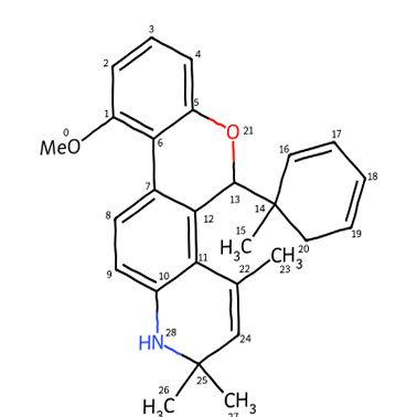 COc1cccc2c1-c1ccc3c(c1C(C1(C)C=CC=CC1)O2)C(C)=CC(C)(C)N3